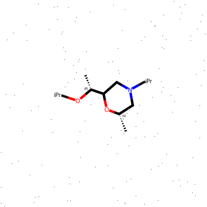 CC(C)O[C@H](C)C1CN(C(C)C)C[C@H](C)O1